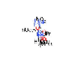 CCCCCCCC/C=C/C(=O)N[C@@H](CCCNC(=N)N[N+](=O)[O-])C(=O)N[C@@H](CC(C)C)B1O[C@@H]2C[C@@H]3C[C@@H](C3(C)C)[C@]2(C)O1